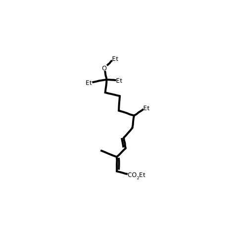 CCOC(=O)C=C(C)C=CCC(CC)CCCC(CC)(CC)OCC